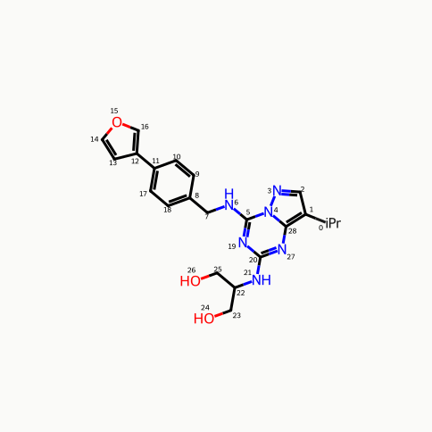 CC(C)c1cnn2c(NCc3ccc(-c4ccoc4)cc3)nc(NC(CO)CO)nc12